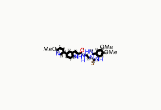 COc1ccc(-c2ccc3[nH]c(C(=O)NCCn4c(=S)[nH]c5cc(OC)c(OC)cc5c4=N)cc3c2)cn1